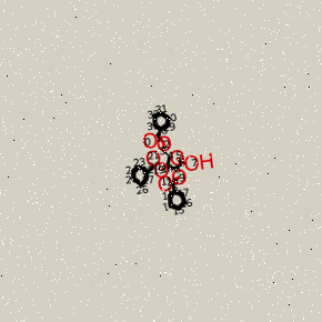 O=C(OC[C@H]1O[C@H](O)[C@@H](OC(=O)c2ccccc2)[C@H]1OC(=O)c1ccccc1)c1ccccc1